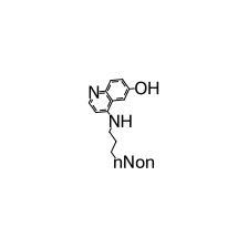 CCCCCCCCCCCCNc1ccnc2ccc(O)cc12